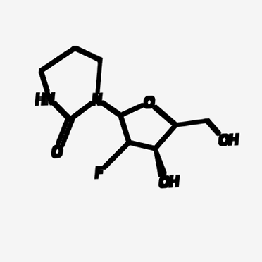 O=C1NCCCN1C1OC(CO)[C@@H](O)C1F